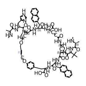 CN[C@@H](C)C(=O)N[C@@H](Cc1c[nH]cn1)C(=O)N1C[C@@H]2C[C@H]1C(=O)N[C@@H](Cc1ccc3ccccc3c1)C(=O)N[C@H](C(=O)O)CCC(=O)N[C@H]1C[C@@H](C(=O)N[C@@H](Cc3ccc4ccccc4c3)C(=O)N[C@H](C(=O)O)Cc3ccc(cc3)OC/C=C/CO2)N(C(=O)[C@@H](NC(=O)[C@H](C)NC)C(C)(C)C)C1